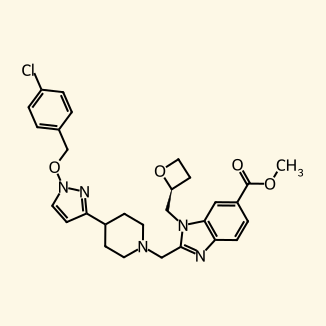 COC(=O)c1ccc2nc(CN3CCC(c4ccn(OCc5ccc(Cl)cc5)n4)CC3)n(C[C@@H]3CCO3)c2c1